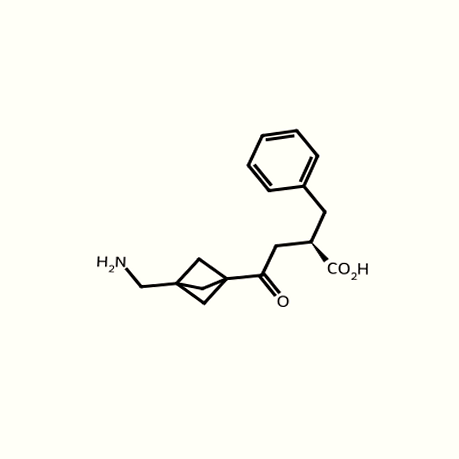 NCC12CC(C(=O)C[C@@H](Cc3ccccc3)C(=O)O)(C1)C2